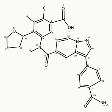 Cc1c(Cl)c(C(=O)O)cc(N(C)C(=O)c2ccn3ncc(-c4ccc(C(N)=O)cc4)c3c2)c1C1CCCO1